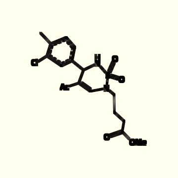 COC(=O)CCCN1C=C(C(C)=O)C(c2ccc(C)c(Cl)c2)NS1(=O)=O